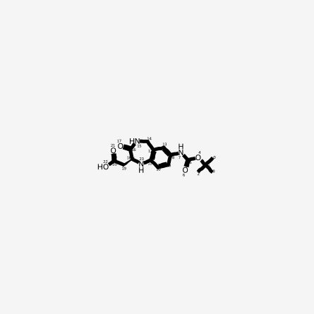 CC(C)(C)OC(=O)Nc1ccc2c(c1)CNC(=O)[C@H](CC(=O)O)N2